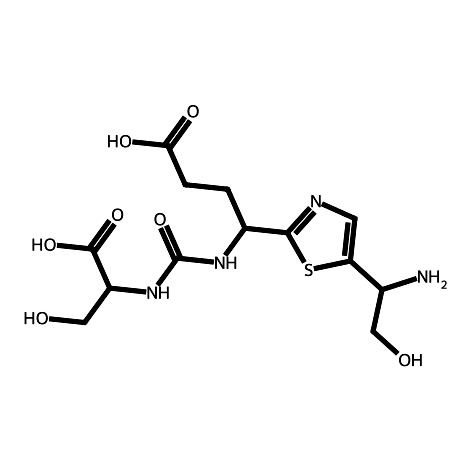 NC(CO)c1cnc(C(CCC(=O)O)NC(=O)NC(CO)C(=O)O)s1